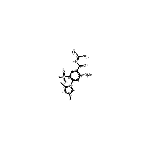 COc1cc(-n2cc(C)nc2C)c(S(C)(=O)=O)cc1C(=O)N=C(N)N